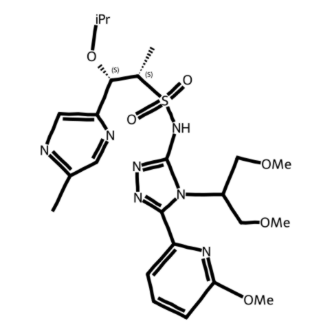 COCC(COC)n1c(NS(=O)(=O)[C@@H](C)[C@@H](OC(C)C)c2cnc(C)cn2)nnc1-c1cccc(OC)n1